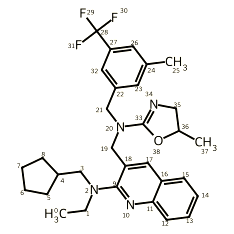 CCN(CC1CCCC1)c1nc2ccccc2cc1CN(Cc1cc(C)cc(C(F)(F)F)c1)C1=NCC(C)O1